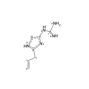 C=CCc1nc(NC(=N)N)c[nH]1